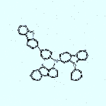 c1ccc(-n2c3ccccc3c3ccc(N(c4ccc(-c5ccc6c(c5)sc5ccccc56)cc4)c4cccc5c4sc4ccccc45)cc32)cc1